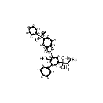 CC(C)(C)CC(C)(C)c1cc(-c2ccccc2)c(O)c(-n2nc3ccc(S(=O)(=O)c4ccccc4)cc3n2)c1